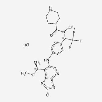 CO[C@@H](C)c1c(Nc2ccc([C@H](N(C)C(=O)C3CCNCC3)C(F)(F)F)cc2)cnc2nc(Cl)nn12.Cl